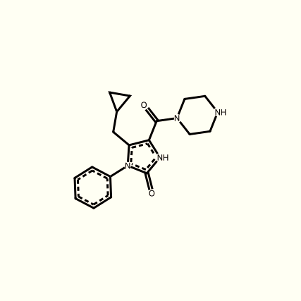 O=C(c1[nH]c(=O)n(-c2ccccc2)c1CC1CC1)N1CCNCC1